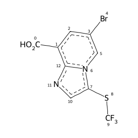 O=C(O)c1cc(Br)cn2c(SC(F)(F)F)cnc12